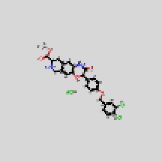 COC(=O)C1Cc2cc3c(cc2CN1)OC(c1ccc(OCc2ccc(Cl)c(Cl)c2)cc1)C(=O)N3.Cl